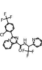 O=C(NC(c1ccccn1)C(F)(F)F)c1nc(-c2ccc(C(F)(F)F)cc2Cl)n2ccccc12